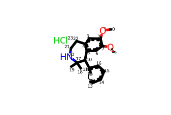 COc1cc2c(cc1OC)C(c1ccccc1)C(C)(C)NCC2.Cl